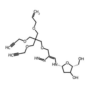 C#CCOCC(COCC#C)(COCC=C)COC/C(=C/N[C@H]1CC(O)[C@@H](CO)O1)N=N